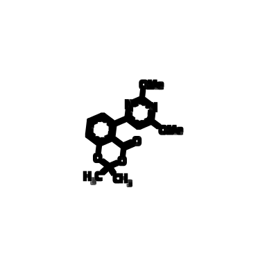 COc1cc(-c2cccc3c2C(=O)OC(C)(C)O3)nc(OC)n1